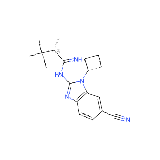 C[C@H](C(=N)Nc1nc2ccc(C#N)cc2n1C1CCC1)C(C)(C)C